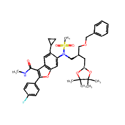 CNC(=O)c1c(-c2ccc(F)cc2)oc2cc(N(C[C@@H](COCc3ccccc3)CB3OC(C)(C)C(C)(C)O3)S(C)(=O)=O)c(C3CC3)cc12